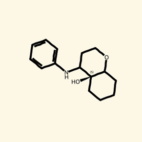 O[C@]12CCCCC1OCCC2Nc1ccccc1